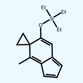 CC[Si](CC)(CC)OC1=CC2=CC=CC2=C(C)C12CC2